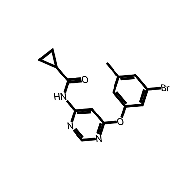 Cc1cc(Br)cc(Oc2cc(NC(=O)C3CC3)ncn2)c1